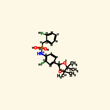 CC1(C)OB(c2ccc(NS(=O)(=O)Cc3ccccc3F)c(F)c2)OC1(C)C